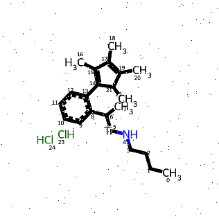 CCCC[NH][Ti][CH](C)c1ccccc1C1=C(C)C(C)=C(C)C1C.Cl.Cl